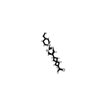 CCC1CCN(c2ncc(C3CC4(CC(C(C)=O)C4)C3)cn2)CC1